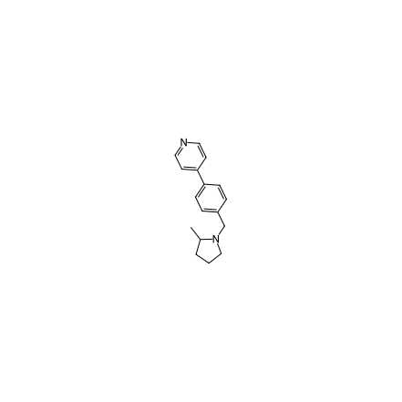 CC1CCCN1Cc1ccc(-c2ccncc2)cc1